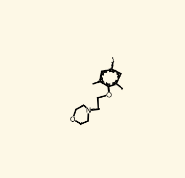 Cc1cc(I)cc(C)c1OCCN1CCOCC1